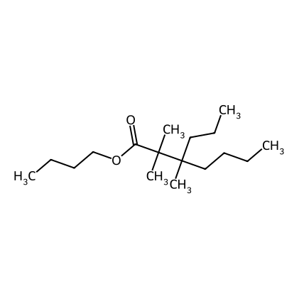 CCCCOC(=O)C(C)(C)C(C)(CCC)CCCC